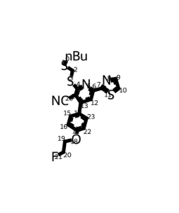 CCCCSCSc1nc(-c2nccs2)cc(-c2ccc(OCCF)cc2)c1C#N